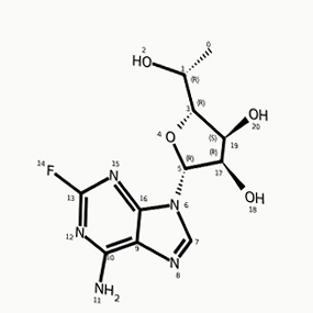 C[C@@H](O)[C@H]1O[C@@H](n2cnc3c(N)nc(F)nc32)[C@H](O)[C@@H]1O